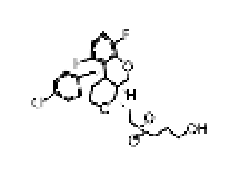 O=S(=O)(CCCO)CC[C@@H]1OCC[C@@]2(Cc3ccc(Cl)cc3)c3c(F)ccc(F)c3OC[C@@H]12